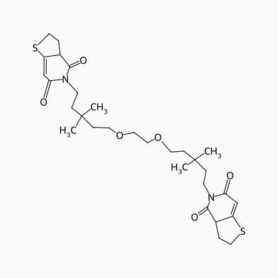 CC(C)(CCOCCOCCC(C)(C)CCN1C(=O)C=C2SCCC2C1=O)CCN1C(=O)C=C2SCCC2C1=O